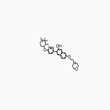 CC1C(Oc2ccc(-c3cc4ccc(OCCN5CCOCC5)cc4cc3O)nn2)CCN(C)C1(C)C